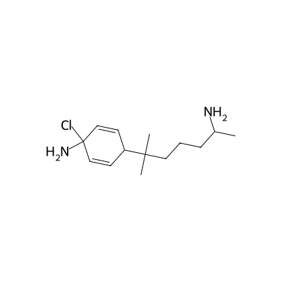 CC(N)CCCC(C)(C)C1C=CC(N)(Cl)C=C1